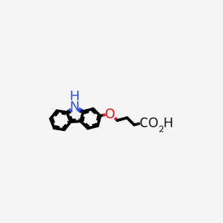 O=C(O)CCCOc1ccc2c(c1)[nH]c1ccccc12